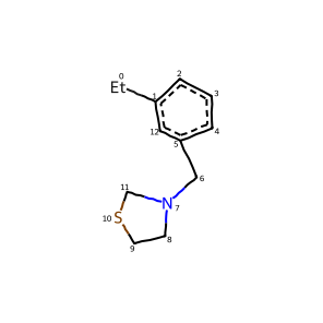 CCc1cccc(CN2CCSC2)c1